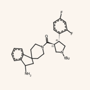 CC(C)(C)N1C[C@@H](C(=O)N2CCC3(CC2)CC(N)c2ccccc23)[C@H](c2ccc(F)cc2F)C1